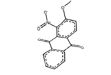 COc1ccc2c(c1[N+](=O)[O-])C(=O)c1ccccc1C2=O